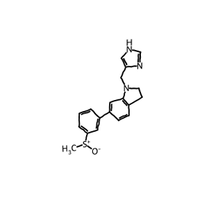 C[S+]([O-])c1cccc(-c2ccc3c(c2)N(Cc2c[nH]cn2)CC3)c1